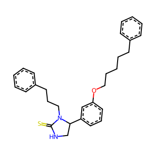 S=C1NCC(c2cccc(OCCCCCc3ccccc3)c2)N1CCCc1ccccc1